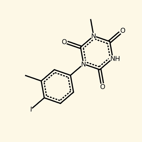 Cc1cc(-n2c(=O)[nH]c(=O)n(C)c2=O)ccc1I